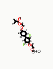 C=C(C)C(=O)O/C=C\Oc1ccc(-c2cc(F)c(O/C=C\OC=O)cc2F)cc1